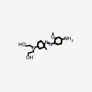 COc1cc(N)ccc1/N=N/c1ccc(N(CCO)CCO)cc1C